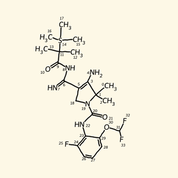 CC1(C)C(N)=C(C(=N)NC(=O)C(C)(C)S(C)(C)C)CN1C(=O)Nc1c(F)cccc1OC(F)F